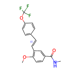 CNC(=O)c1ccc(OC)c(/C=C/c2ccc(OC(F)(F)F)cc2)c1